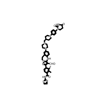 Cc1c(C(=O)Nc2nccs2)ccc(-c2nn3c(c2C=O)Nc2ccc(N4CCN(CC5CCN(c6ccc(N7CCC(=O)NC7=O)cc6)CC5)CC4)cc2CC3)c1F